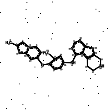 Cc1cn2ccc(Oc3ccc(Nc4ncnc5sc6c(c45)CCNC6)cc3C)cc2n1